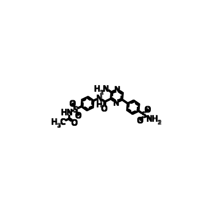 CC(=O)NS(=O)(=O)c1ccc(NC(=O)c2nc(-c3ccc(S(N)(=O)=O)cc3)cnc2N)cc1